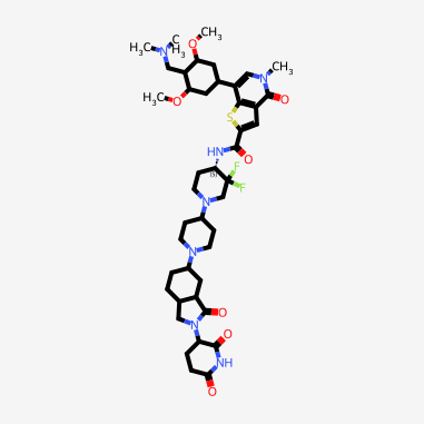 COC1CC(c2cn(C)c(=O)c3cc(C(=O)N[C@H]4CCN(C5CCN(C6CCC7CN(C8CCC(=O)NC8=O)C(=O)C7C6)CC5)CC4(F)F)sc23)CC(OC)C1CN(C)C